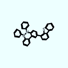 c1ccc(B2c3ccccc3-c3cc(-c4cccc5c4sc4ccccc45)ccc3N2c2ccccc2)cc1